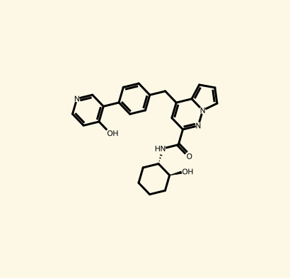 O=C(N[C@H]1CCCC[C@@H]1O)c1cc(Cc2ccc(-c3cnccc3O)cc2)c2cccn2n1